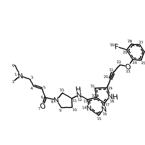 CN(C)CC=CC(=O)N1CCC(Nc2ncnc3[nH]c(C#CCOc4ccccc4F)cc23)C1